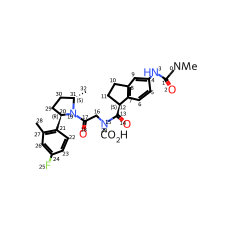 CNC(=O)Nc1ccc2c(c1)CC[C@@H]2C(=O)N(CC(=O)N1[C@@H](c2ccc(F)cc2C)CC[C@@H]1C)C(=O)O